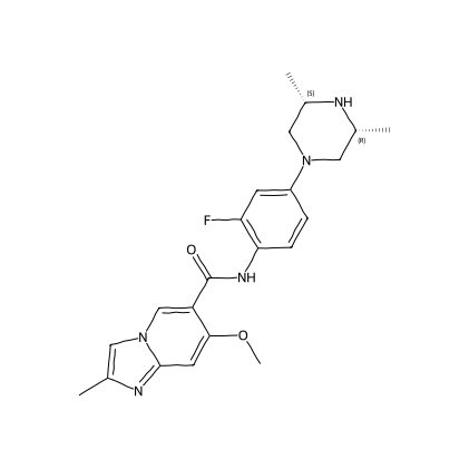 COc1cc2nc(C)cn2cc1C(=O)Nc1ccc(N2C[C@@H](C)N[C@@H](C)C2)cc1F